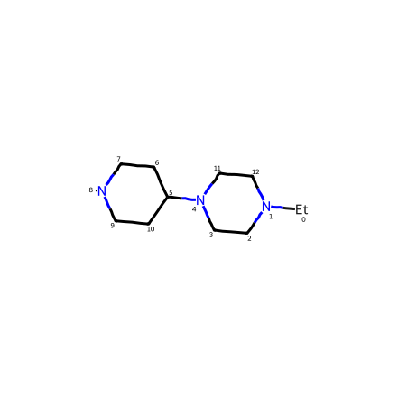 CCN1CCN(C2CC[N]CC2)CC1